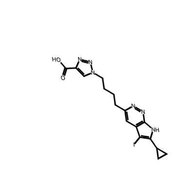 O=C(O)c1cn(CCCCc2cc3c(I)c(C4CC4)[nH]c3nn2)nn1